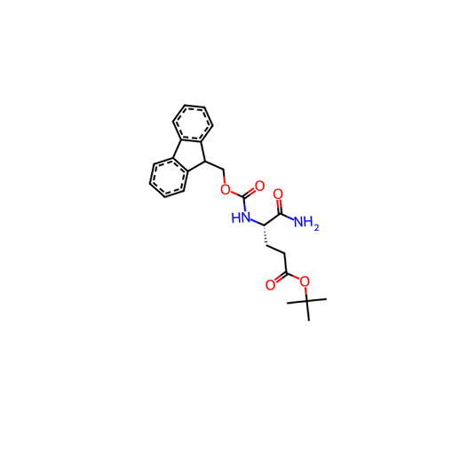 CC(C)(C)OC(=O)CC[C@H](NC(=O)OCC1c2ccccc2-c2ccccc21)C(N)=O